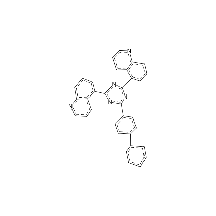 c1ccc(-c2ccc(-c3nc(-c4cccc5ncccc45)nc(-c4cccc5ncccc45)n3)cc2)cc1